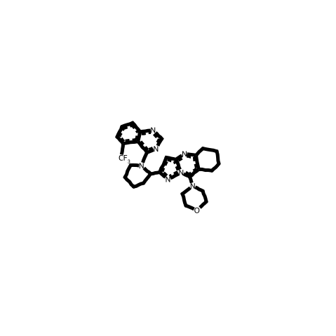 FC(F)(F)c1cccc2ncnc(N3CCCCC3c3cc4nc5c(c(N6CCOCC6)n4n3)CCCC5)c12